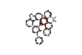 CS1(C)c2ccccc2-c2c(N(c3cccc(-c4ccccc4)c3-c3ccccc3-c3ccccc3)c3cccc4oc5ccccc5c34)cccc21